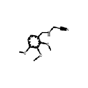 COc1ccc(CNCC#N)c(OC)c1OC